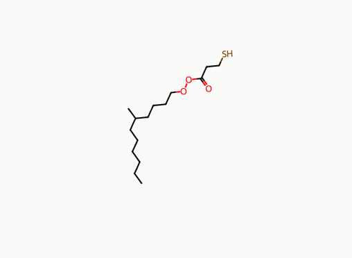 CCCCCCC(C)CCCCOOC(=O)CCS